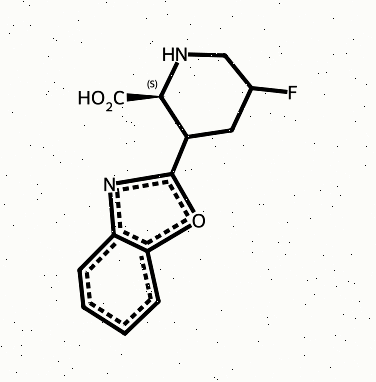 O=C(O)[C@H]1NCC(F)CC1c1nc2ccccc2o1